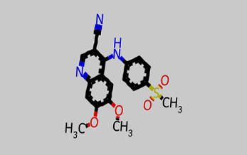 COc1cc2ncc(C#N)c(Nc3ccc(S(C)(=O)=O)cc3)c2cc1OC